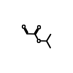 CC(C)OC(=O)C=O